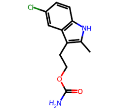 Cc1[nH]c2ccc(Cl)cc2c1CCOC(N)=O